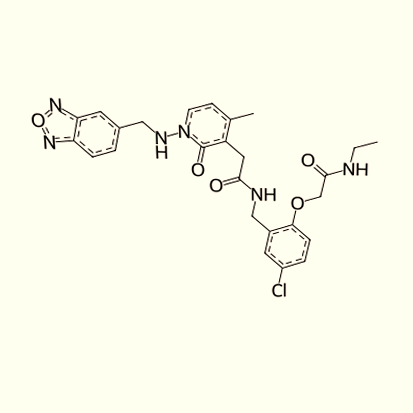 CCNC(=O)COc1ccc(Cl)cc1CNC(=O)Cc1c(C)ccn(NCc2ccc3nonc3c2)c1=O